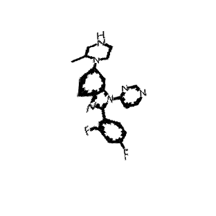 CC1CNCCN1c1ccc2nc(-c3ccc(F)cc3F)n(-c3ccncn3)c2c1